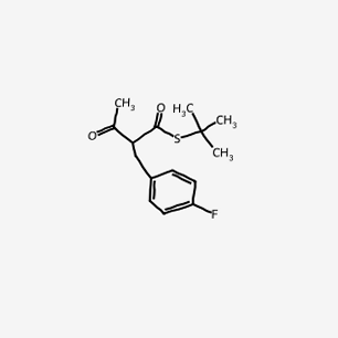 CC(=O)C(Cc1ccc(F)cc1)C(=O)SC(C)(C)C